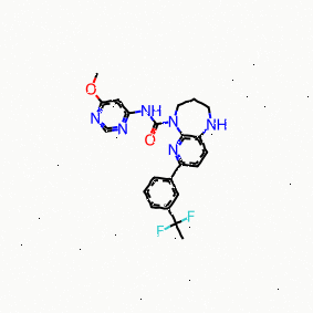 COc1cc(NC(=O)N2CCCNc3ccc(-c4cccc(C(C)(F)F)c4)nc32)ncn1